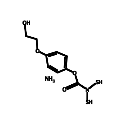 N.O=C(Oc1ccc(OCCO)cc1)N(S)S